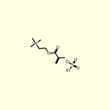 C=C(C)C(=O)OCC[N+](C)(C)C.CCS(=O)(=O)[O-]